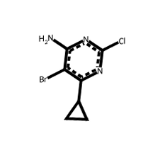 Nc1nc(Cl)nc(C2CC2)c1Br